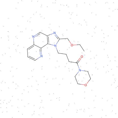 CCOCc1nc2cnc3cccnc3c2n1CCCC(=O)N1CCOCC1